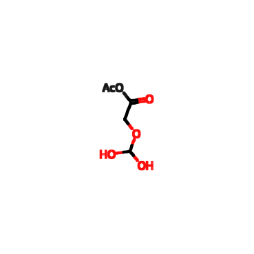 CC(=O)OC(=O)COC(O)O